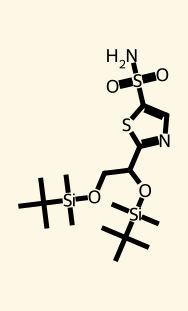 CC(C)(C)[Si](C)(C)OCC(O[Si](C)(C)C(C)(C)C)c1ncc(S(N)(=O)=O)s1